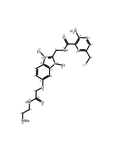 CCn1c(CNC(=O)c2nc(CI)cnc2N)[n+](CC)c2ccc(OCC(=O)NCCNC)cc21